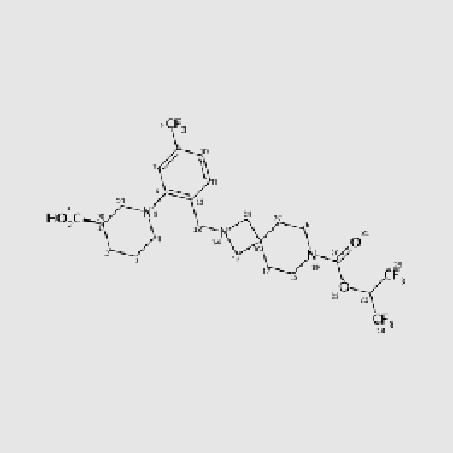 O=C(O)[C@@H]1CCCN(c2cc(C(F)(F)F)ccc2CN2CC3(CCN(C(=O)OC(C(F)(F)F)C(F)(F)F)CC3)C2)C1